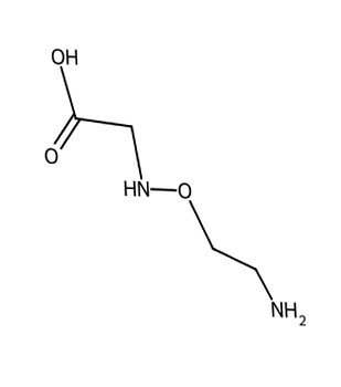 NCCONCC(=O)O